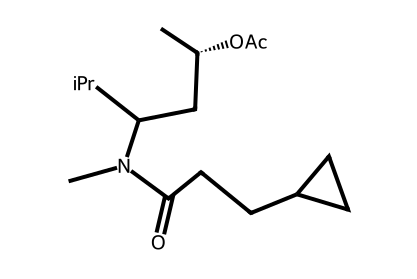 CC(=O)O[C@@H](C)CC(C(C)C)N(C)C(=O)CCC1CC1